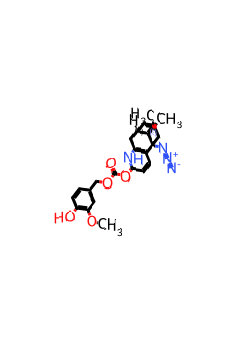 C/C=C1\[C@@H]2C=C(C)CC1(N=[N+]=[N-])C1=C(C2)NC(OC(=O)OCc2ccc(O)c(OC)c2)C=C1